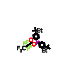 CCC(C)(C)c1ccc([I+](OC(=O)C(F)(F)C(F)(F)C(F)(F)F)c2ccc(C(C)(C)CC)cc2)cc1